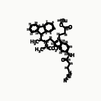 CC(C1c2ccccc2-c2ccccc21)N(Cc1cc2cc(NC(=O)CCN=[N+]=[N-])ccc2n1CCC(=O)OC(C)(C)C)N(C)C(=O)O